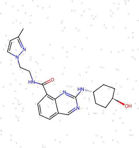 Cc1ccn(CCNC(=O)c2cccc3cnc(N[C@H]4CC[C@H](O)CC4)nc23)n1